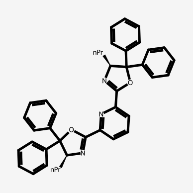 CCC[C@@H]1N=C(c2cccc(C3=N[C@@H](CCC)C(c4ccccc4)(c4ccccc4)O3)n2)OC1(c1ccccc1)c1ccccc1